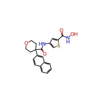 O=C(NO)c1cc(NC(=O)C2(c3ccc4ccccc4c3)CCOCC2)cs1